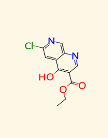 CCOC(=O)c1cnc2cnc(Cl)cc2c1O